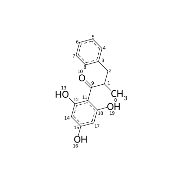 CC(Cc1ccccc1)C(=O)c1c(O)cc(O)cc1O